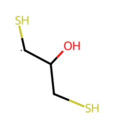 OC([CH]S)CS